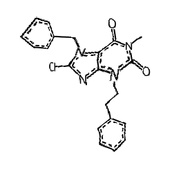 Cn1c(=O)c2c(nc(Cl)n2Cc2ccccc2)n(CCc2ccccc2)c1=O